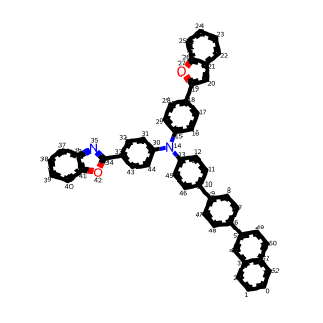 c1ccc2cc(-c3ccc(-c4ccc(N(c5ccc(-c6cc7ccccc7o6)cc5)c5ccc(-c6nc7ccccc7o6)cc5)cc4)cc3)ccc2c1